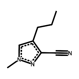 CCCc1cn(C)nc1C#N